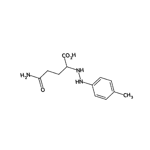 Cc1ccc(NNC(CCC(N)=O)C(=O)O)cc1